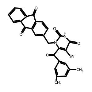 Cc1cc(C)cc(C(=O)c2c(C(C)C)c(=O)[nH]c(=O)n2Cc2ccc3c(c2)C(=O)c2ccccc2C3=O)c1